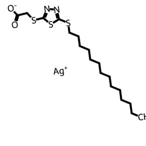 CCCCCCCCCCCCCCSc1nnc(SCC(=O)[O-])s1.[Ag+]